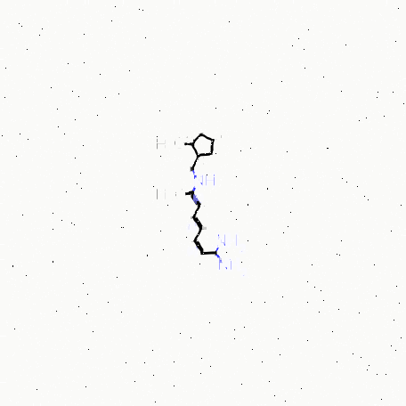 C\C(=C/C=C/C=C\C(N)N)NCC1CCCC1C